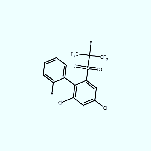 O=S(=O)(c1cc(Cl)[c]c(Cl)c1-c1ccccc1F)C(F)(C(F)(F)F)C(F)(F)F